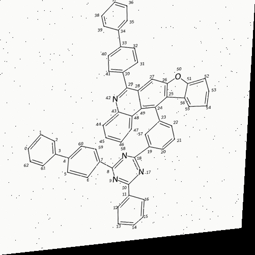 c1ccc(-c2ccc(-c3nc(-c4ccccc4)nc(-c4cccc(-c5c6c(cc7c(-c8ccc(-c9ccccc9)cc8)nc8ccccc8c57)oc5ccccc56)c4)n3)cc2)cc1